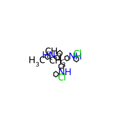 Cc1cc(C)c(Nc2ccc(C(c3ccc(Nc4ccccc4Cl)cc3)c3ccc(Nc4ccccc4Cl)cc3)c3ccccc23)c(C)c1